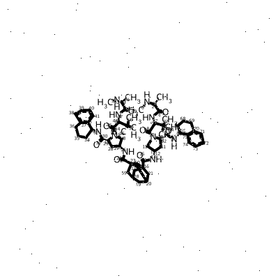 CN[C@@H](C)C(=O)N[C@H](C(=O)N1C[C@@H](NC(=O)C23CC4CC(C2)CC(C(=O)N[C@H]2C[C@@H](C(=O)N[C@@H]5CCCc6ccccc65)N(C(=O)[C@@H](NC(=O)[C@H](C)NC)C(C)(C)C)C2)(C4)C3)C[C@H]1C(=O)N[C@@H]1CCCc2ccccc21)C(C)(C)C